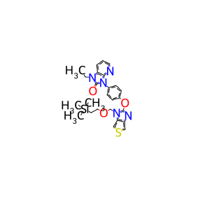 CCn1c(=O)n(-c2ccc(Oc3nc4cscc4n3COCC[Si](C)(C)C)cc2)c2ncccc21